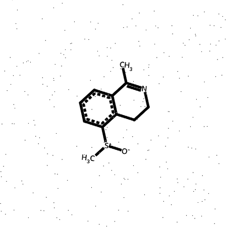 CC1=NCCc2c1cccc2[S+](C)[O-]